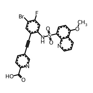 COc1ccc(S(=O)(=O)Nc2cc(F)c(Br)cc2C#Cc2ccc(C(=O)O)nc2)c2ncccc12